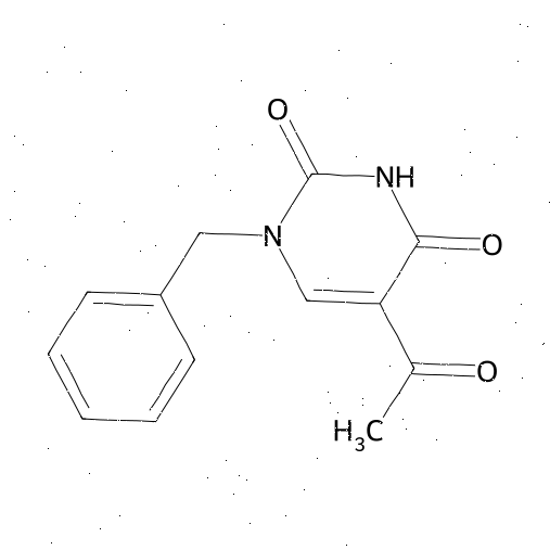 CC(=O)c1cn(Cc2ccccc2)c(=O)[nH]c1=O